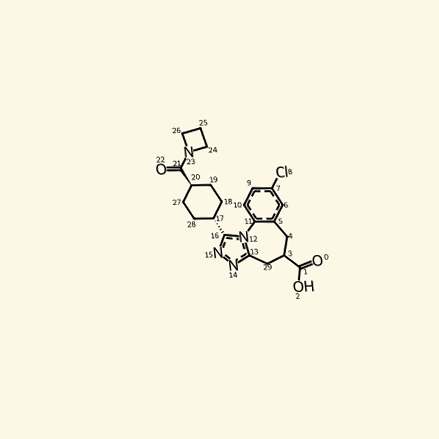 O=C(O)C1Cc2cc(Cl)ccc2-n2c(nnc2[C@H]2CC[C@H](C(=O)N3CCC3)CC2)C1